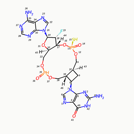 Nc1nc2c(ncn2[C@@H]2C[C@@H]3CO[P@](=O)(S)O[C@H]4[C@@H](F)[C@H](n5cnc6c(N)ncnc65)O[C@@H]4CO[PH](=O)OC[C@H]32)c(=O)[nH]1